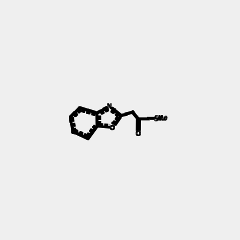 CSC(=O)Cc1nc2ccccc2o1